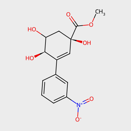 COC(=O)[C@]1(O)C=C(c2cccc([N+](=O)[O-])c2)[C@@H](O)C(O)C1